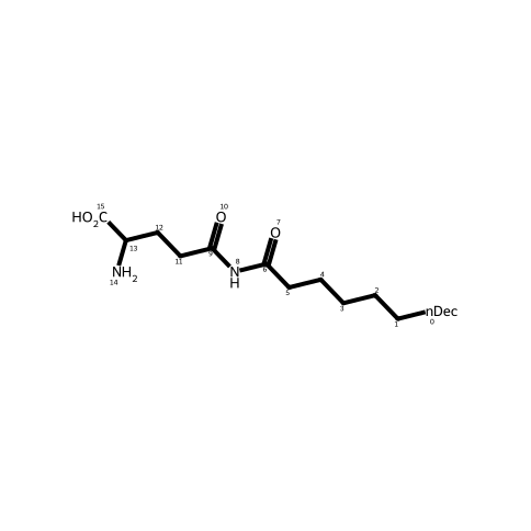 CCCCCCCCCCCCCCCC(=O)NC(=O)CCC(N)C(=O)O